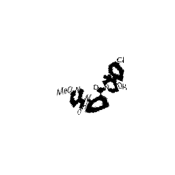 COc1ccc(C(=O)N[C@@H]2CCCC[C@@H]2C(=O)N2CC[C@](O)(c3ccc(Cl)cc3)C(C)(C)C2)cn1